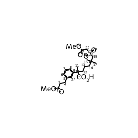 COC(=O)CCc1cccc(C(C)(CCCC(C)(C)CS(=O)(=O)CC(=O)OC)C(=O)O)c1